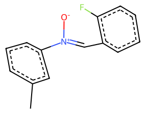 Cc1cccc([N+]([O-])=Cc2ccccc2F)c1